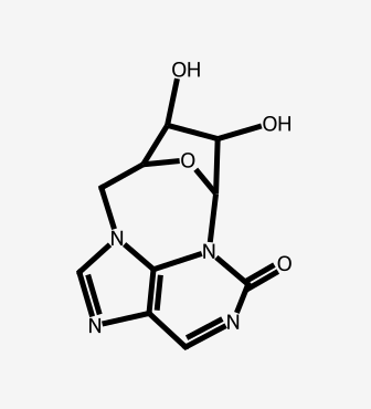 O=c1ncc2ncn3c2n1C1OC(C3)C(O)C1O